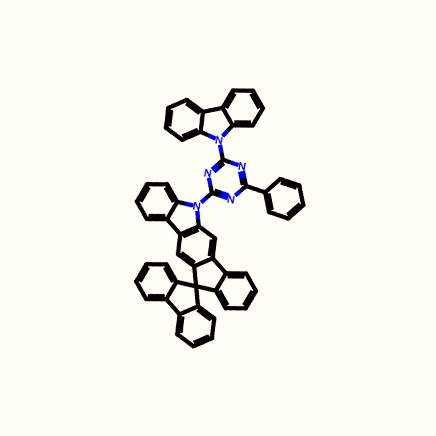 c1ccc(-c2nc(-n3c4ccccc4c4ccccc43)nc(-n3c4ccccc4c4cc5c(cc43)-c3ccccc3C53c4ccccc4-c4ccccc43)n2)cc1